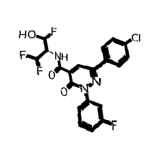 O=C(N[C@@H](C(O)F)C(F)F)c1cc(-c2ccc(Cl)cc2)nn(-c2cccc(F)c2)c1=O